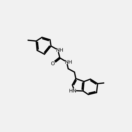 Cc1ccc(NC(=O)NCCc2c[nH]c3ccc(C)cc23)cc1